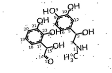 CNCC(O)c1ccc(O)c(O)c1.O=CC(O)c1cccc(O)c1O